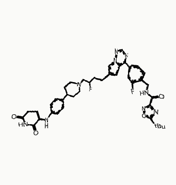 CC(C)(C)c1nc(C(=O)NCc2ccc(-c3ncnn4cc(CCC(F)CN5CCC(c6ccc(NC7CCC(=O)NC7=O)cc6)CC5)cc34)cc2F)no1